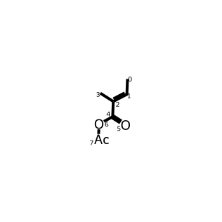 C/C=C(\C)C(=O)OC(C)=O